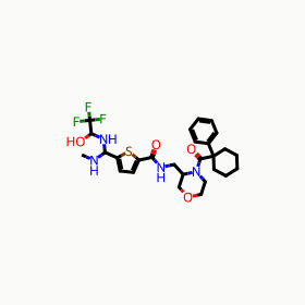 CNC(NC(O)C(F)(F)F)c1ccc(C(=O)NCC2COCCN2C(=O)C2(c3ccccc3)CCCCC2)s1